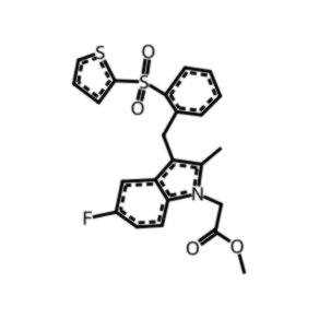 COC(=O)Cn1c(C)c(Cc2ccccc2S(=O)(=O)c2cccs2)c2cc(F)ccc21